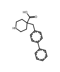 O=C(O)C1(Cc2ccc(-c3ccccc3)cc2)CCNCC1